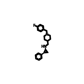 Fc1ccc(CN2CCC(CN[C@@H]3C[C@H]3c3ccccc3)CC2)cc1